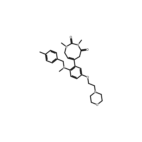 Cc1ccc(CN(C)c2ccc(OCCN3CCOCC3)cc2/C2=C/CN(C)C(=O)N(C)C(=O)C2)cc1